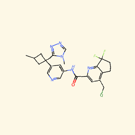 CC1CC(c2cncc(NC(=O)c3cc(CCl)c4c(n3)C(F)(F)CC4)c2)(c2nncn2C)C1